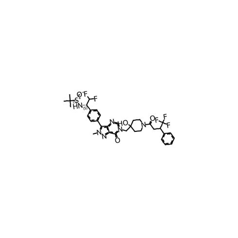 Cn1nc2c(=O)n(CC3(O)CCN(C(=O)CC(c4ccccc4)C(F)(F)F)CC3)cnc2c1-c1ccc([C@H](N[S@+]([O-])C(C)(C)C)C(F)F)cc1